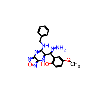 COc1ccc(O)c(C(=NN)c2nc3nonc3nc2NCc2ccccc2)c1